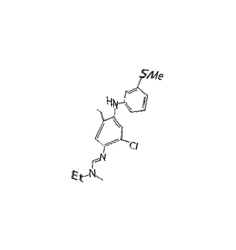 CCN(C)C=Nc1cc(C)c(Nc2cccc(SC)c2)cc1Cl